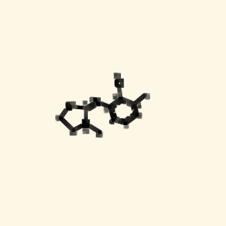 Cc1cccc(N=C2SCCN2C)c1Cl